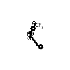 O=C(CCCCCCc1ccccc1)c1ncc(-c2ccc(C(=O)C(F)(F)F)cc2)o1